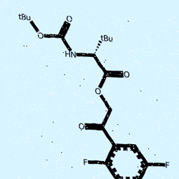 CC(C)(C)OC(=O)N[C@@H](C(=O)OCC(=O)c1cc(F)ccc1F)C(C)(C)C